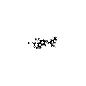 CC(=O)Oc1c(C)sc2c(F)c(OCc3cc(C(F)(F)F)nn3C)cc(C)c12